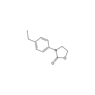 O=C1OCCN1c1ccc(CI)cc1